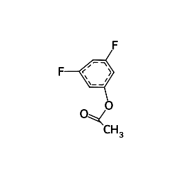 CC(=O)Oc1cc(F)cc(F)c1